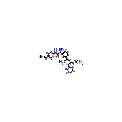 C=N/C=C(\C=C(/C)c1ccc2[nH]nc(C(=O)NC3CCN(CC(C)(C)C)CC3)c2c1)CN1CCCCC1